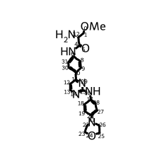 COC[C@@H](N)C(=O)Nc1ccc(-c2ccnc(Nc3ccc(N4CCOCC4)cc3)n2)cc1